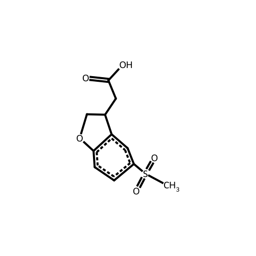 CS(=O)(=O)c1ccc2c(c1)C(CC(=O)O)CO2